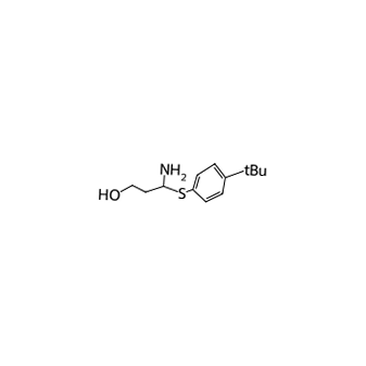 CC(C)(C)c1ccc(SC(N)CCO)cc1